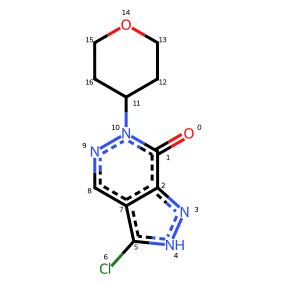 O=c1c2n[nH]c(Cl)c2cnn1C1CCOCC1